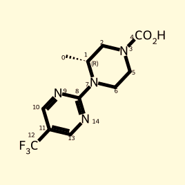 C[C@@H]1CN(C(=O)O)CCN1c1ncc(C(F)(F)F)cn1